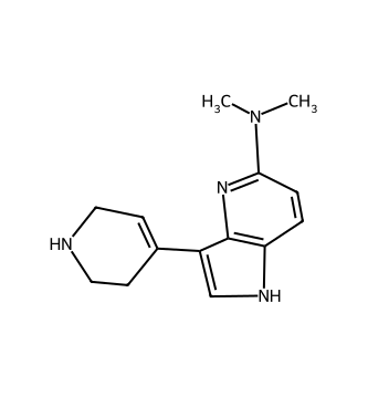 CN(C)c1ccc2[nH]cc(C3=CCNCC3)c2n1